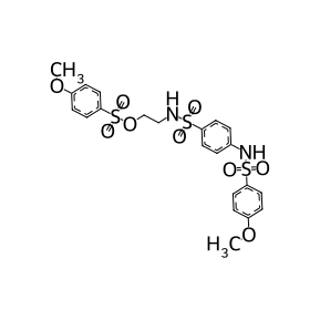 COc1ccc(S(=O)(=O)Nc2ccc(S(=O)(=O)NCCOS(=O)(=O)c3ccc(OC)cc3)cc2)cc1